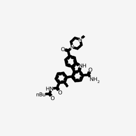 CCCCC(=O)NC(=O)c1cccc(-c2ccc(C(N)=O)c3[nH]c4cc(C(=O)N5CCN(C)CC5)ccc4c23)c1C